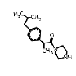 CC(C)Cc1ccc(C(C)C(=O)N2CCNCC2)cc1